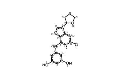 Oc1cc(O)cc(Nc2nc(Cl)nc3c2ncn3C2CCCO2)c1